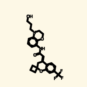 O=C(/C=C1\CC2(CCC2)Oc2cc(C(F)(F)F)ccc21)Nc1cccc2c1OCCN2CCCO